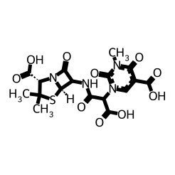 Cn1c(=O)c(C(=O)O)cn(C(C(=O)O)C(=O)NC2C(=O)N3[C@@H]2SC(C)(C)[C@@H]3C(=O)O)c1=O